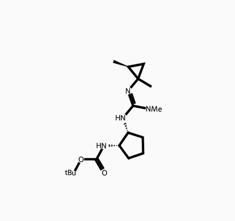 CN/C(=N\C1(C)C[C@@H]1C)N[C@@H]1CCC[C@@H]1NC(=O)OC(C)(C)C